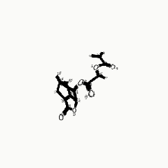 C=C(C)C(=O)OC(C)C(=O)OC1C2OC(=O)C3CC1(C)CC32